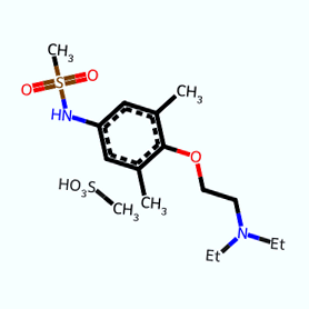 CCN(CC)CCOc1c(C)cc(NS(C)(=O)=O)cc1C.CS(=O)(=O)O